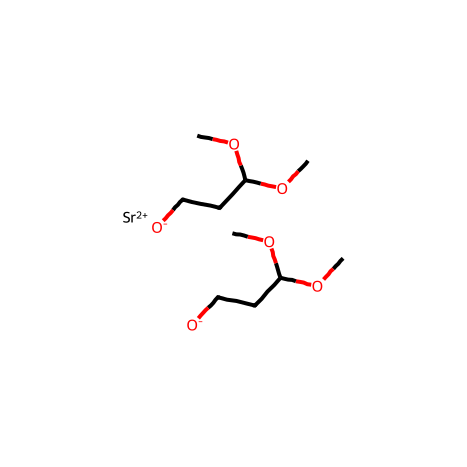 COC(CC[O-])OC.COC(CC[O-])OC.[Sr+2]